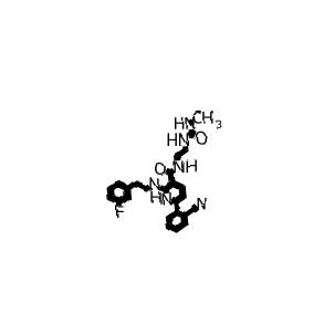 CNC(=O)NCCNC(=O)c1ccc(-c2ccccc2C#N)nc1NCCc1cccc(F)c1